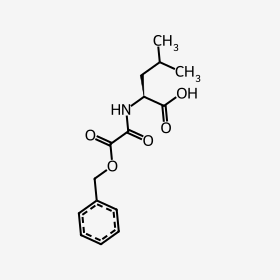 CC(C)C[C@H](NC(=O)C(=O)OCc1ccccc1)C(=O)O